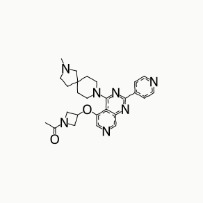 CC(=O)N1CC(Oc2cncc3nc(-c4ccncc4)nc(N4CCC5(CCN(C)C5)CC4)c23)C1